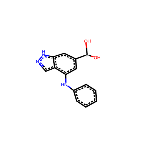 OB(O)c1cc(Nc2ccccc2)c2cn[nH]c2c1